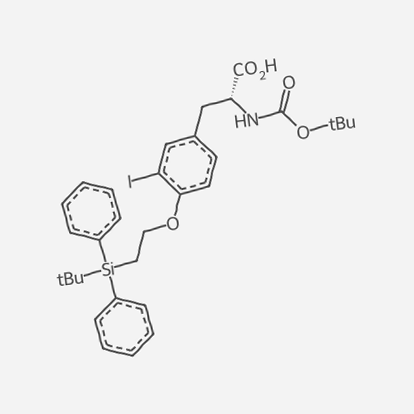 CC(C)(C)OC(=O)N[C@H](Cc1ccc(OCC[Si](c2ccccc2)(c2ccccc2)C(C)(C)C)c(I)c1)C(=O)O